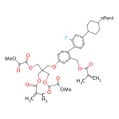 C=C(C)C(=O)OCc1cc(OCC(COC(=O)C(=C)C)(COC(=O)C(=O)OC)COC(=O)C(=O)OC)ccc1-c1ccc(C2CCC(CCCCC)CC2)cc1F